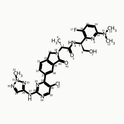 C[C@H](C(=O)N[C@H](CO)c1nc(N(C)C)ccc1F)N1Cc2ccc(-c3nc(Nc4cnn(C)n4)ncc3Cl)cc2C1=O